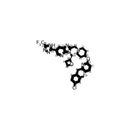 Fc1cc(Cl)ccc1Cc1cccc(OC2CCN(Cc3nc4cc(-c5nnc(C(F)(F)F)[nH]5)cnc4n3C[C@@H]3CCO3)CC2)n1